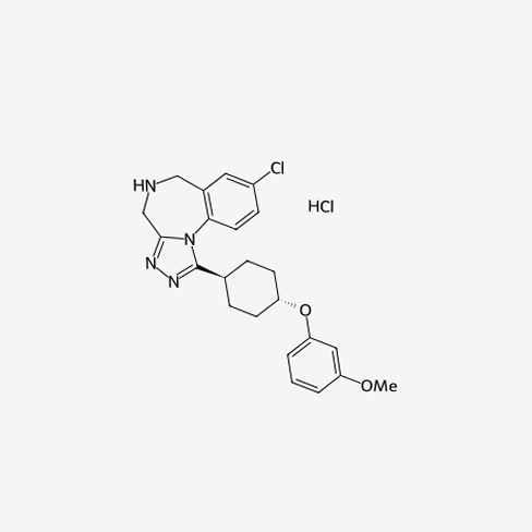 COc1cccc(O[C@H]2CC[C@H](c3nnc4n3-c3ccc(Cl)cc3CNC4)CC2)c1.Cl